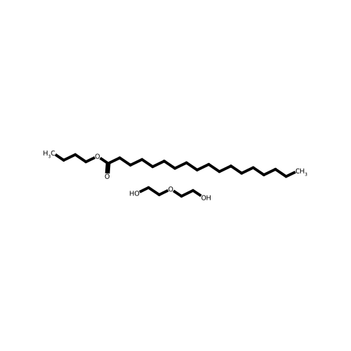 CCCCCCCCCCCCCCCCCC(=O)OCCCC.OCCOCCO